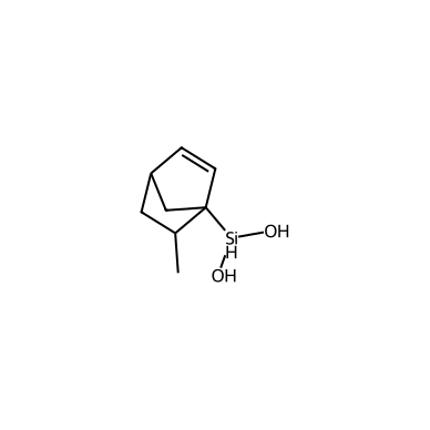 CC1CC2C=CC1([SiH](O)O)C2